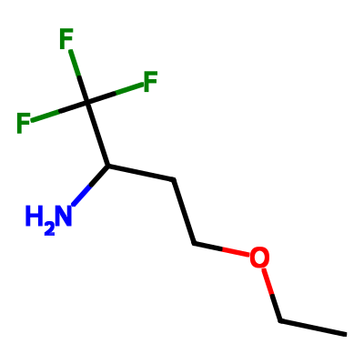 CCOCCC(N)C(F)(F)F